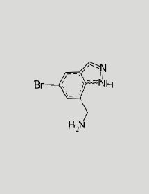 NCc1cc(Br)cc2cn[nH]c12